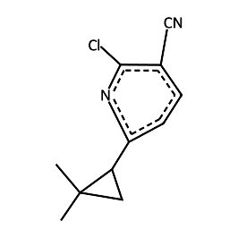 CC1(C)CC1c1ccc(C#N)c(Cl)n1